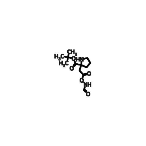 CC(C)(C)OC(=O)C1(CC(=O)ONC=O)CCCN1